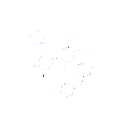 C[C@@H]1CN(CC(=O)N2c3cc(Cc4ccc(F)cc4)cnc3OCC2C(N)=O)[C@@H](CN2CCOC[C@H]2C)CN1